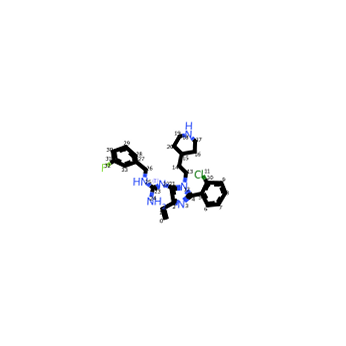 C=Cc1nc(-c2ccccc2Cl)n(CCC2CCNCC2)c1/N=C(\N)NCc1cccc(F)c1